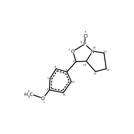 COc1ccc(C2OP(Cl)N3CCCC23)cc1